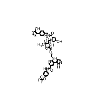 Cc1ncsc1-c1ccc(CNC(=O)[C@@H]2C[C@@H](O)CN2C(=O)[C@@H](NC(=O)COCCNc2ncc(C(=O)Nc3ccc(OC(F)(F)Cl)cc3)cc2-c2ccn[nH]2)C(C)(C)C)cc1